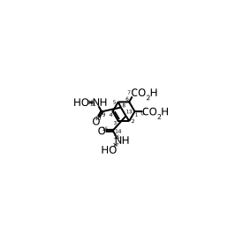 O=C(O)C1C2C=CC(C1C(=O)O)C(C(=O)NO)C2C(=O)NO